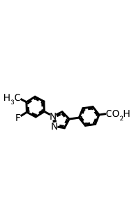 Cc1ccc(-n2cc(-c3ccc(C(=O)O)cc3)cn2)cc1F